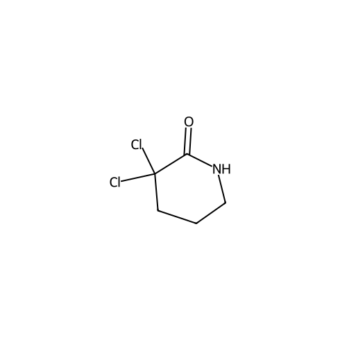 O=C1NCCCC1(Cl)Cl